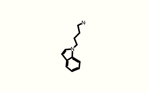 [N]CCCCn1ccc2ccccc21